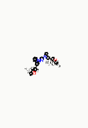 CC1(C)c2ccccc2Oc2ccc(-c3ccc4c(c3)c3ccccc3n4-c3ccc(-n4c5ccccc5c5cc(-c6ccc7c(c6)C(C)(C)c6ccccc6O7)ccc54)nc3)cc21